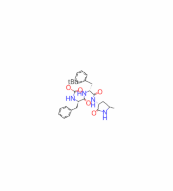 CC1C[C@@H](NC(=O)[C@@H](Cc2ccccc2)NC(=O)[C@@H](Cc2ccccc2)NC(=O)OC(C)(C)C)C(=O)N1